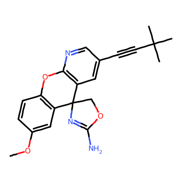 COc1ccc2c(c1)C1(COC(N)=N1)c1cc(C#CC(C)(C)C)cnc1O2